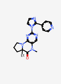 CCC12CCCN1c1nc(-n3ccnc3-c3ccncc3)ncc1N(C)C2=O